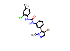 Cn1ncc(Br)c1-c1cccc(NC(=O)Nc2ccc(C(F)(F)F)cc2Cl)c1